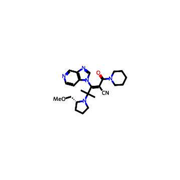 COC[C@H]1CCCN1C(C)(C)C(=C(C#N)C(=O)N1CCCCC1)n1cnc2cnccc21